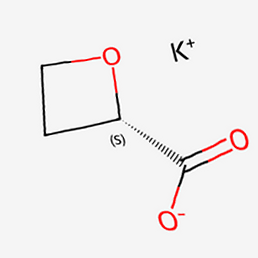 O=C([O-])[C@@H]1CCO1.[K+]